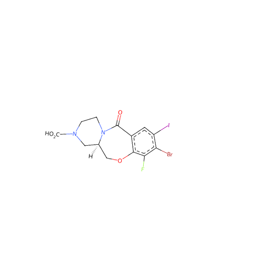 O=C(O)N1CCN2C(=O)c3cc(I)c(Br)c(F)c3OC[C@H]2C1